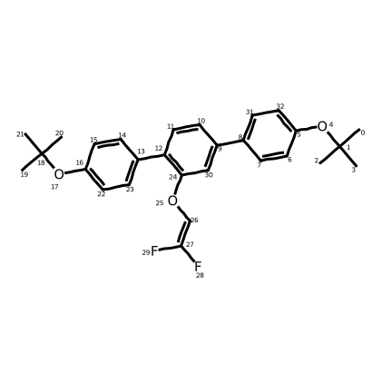 CC(C)(C)Oc1ccc(-c2ccc(-c3ccc(OC(C)(C)C)cc3)c(OC=C(F)F)c2)cc1